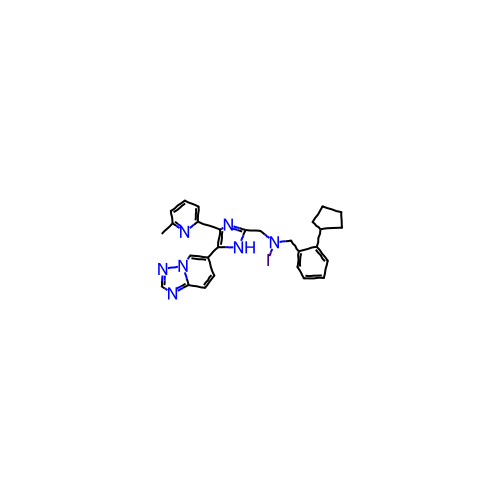 Cc1cccc(-c2nc(CN(I)Cc3ccccc3C3CCCC3)[nH]c2-c2ccc3ncnn3c2)n1